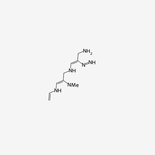 C=CN/C=C(/CN/C=C(/CN)N=N)NC